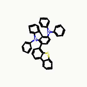 c1ccc(N(c2ccccc2)c2ccc(-c3cccc4c3sc3ccccc34)c3c2c2ccccc2n3-c2ccccc2)cc1